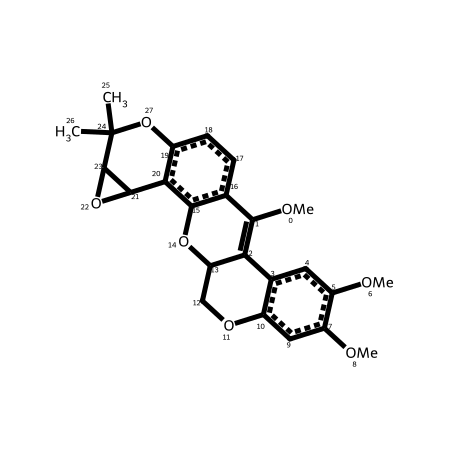 COC1=C2c3cc(OC)c(OC)cc3OCC2Oc2c1ccc1c2C2OC2C(C)(C)O1